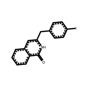 O=c1[nH]c(Cc2ccc(I)cc2)cc2ccccc12